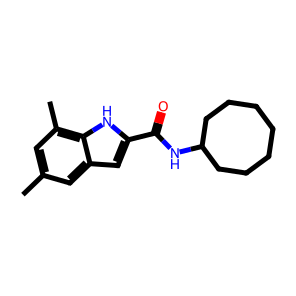 Cc1cc(C)c2[nH]c(C(=O)NC3CCCCCCC3)cc2c1